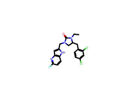 CCN1C(=O)N(Cc2cc3nc(F)ccc3[nH]2)CC1Cc1ccc(Cl)cc1Cl